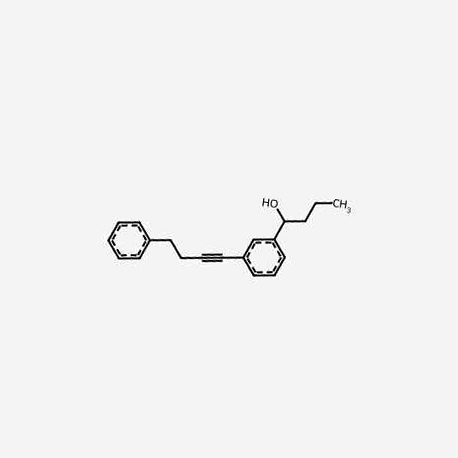 CCCC(O)c1cccc(C#CCCc2ccccc2)c1